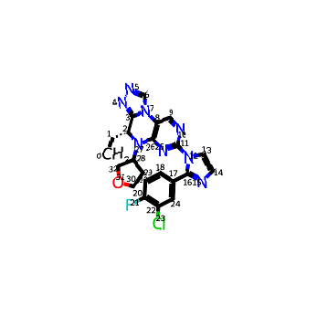 CC[C@@H]1c2nncn2-c2cnc(-n3ccnc3-c3ccc(F)c(Cl)c3)nc2N1C1CCOC1